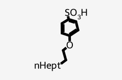 CCCCCCCCCOc1ccc(S(=O)(=O)O)cc1